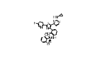 O=S(=O)(Nc1cccc(-c2nc(-c3ccc(F)cn3)sc2-c2ccnc(NC3CC3)n2)c1F)c1c(Cl)cccc1Cl